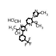 COc1nc(-c2nc(-c3cccc(C(F)(F)F)c3)n(C(C)C)n2)ccc1-n1cnc(C)c1.Cl.Cl